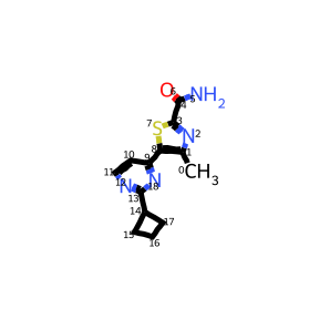 Cc1nc(C(N)=O)sc1-c1ccnc(C2CCC2)n1